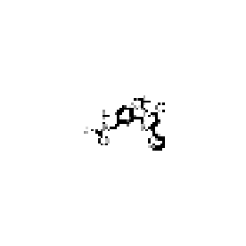 CC(C)C(=O)NCc1ccc(Cl)c(-c2nc(-c3cccs3)cc(=O)[nH]2)c1